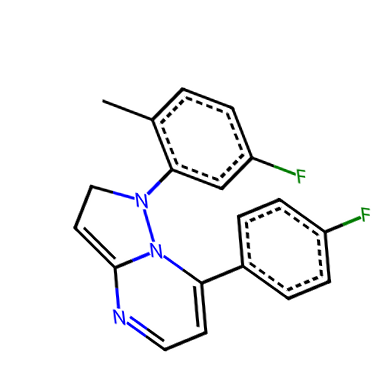 Cc1ccc(F)cc1N1CC=C2N=CC=C(c3ccc(F)cc3)N21